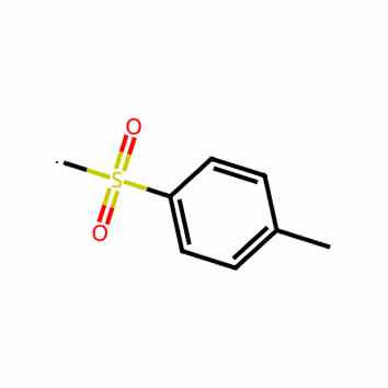 [CH2]S(=O)(=O)c1ccc(C)cc1